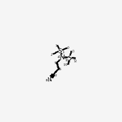 CS(C)(C)N(CCC#N)S(C)(C)C